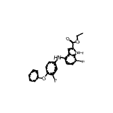 CCOC(=O)c1cc2c(Nc3ccc(Oc4ccccc4)c(F)c3)ccc(F)c2[nH]1